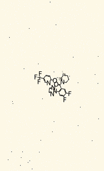 C[C@@H]1CCCN(C(=O)c2cc(F)c(F)cc2-n2nccn2)[C@@H]1COc1ccc(C(F)(F)F)cn1